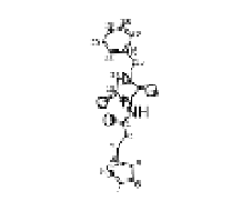 O=C(CCc1cccs1)NN1C(=O)CN(Cc2ccccc2)C1=O